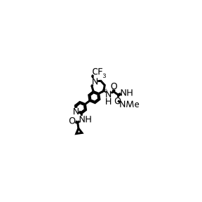 CNOC(=N)C(=O)N[C@@H]1CCN(CC(F)(F)F)Cc2cc(-c3ccnc(NC(=O)C4CC4)c3)ccc21